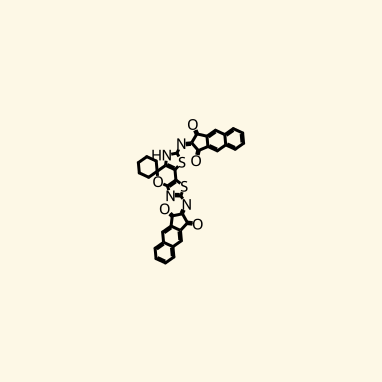 O=c1c(=Nc2nc3c(s2)C2=C(NC(N=c4c(=O)c5cc6ccccc6cc5c4=O)S2)C2(CCCCC2)O3)c(=O)c2cc3ccccc3cc12